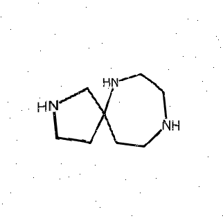 C1CNC2(CCN1)CCNC2